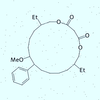 CCC1CCCCC(c2ccccc2)C(OC)CCCC(CC)COC(=O)CC(=O)OC1